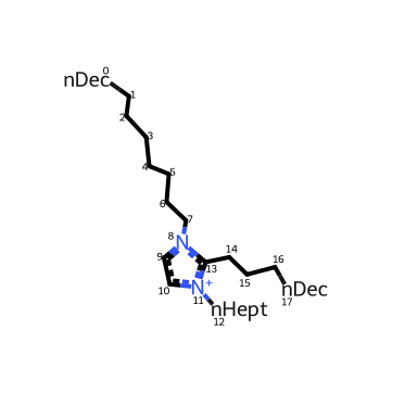 CCCCCCCCCCCCCCCCCn1cc[n+](CCCCCCC)c1CCCCCCCCCCCCC